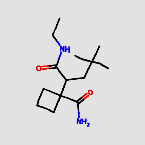 CCNC(=O)C(CC(C)(C)C)C1(C(N)=O)CCC1